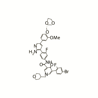 COc1cc(-c2cnc(N)c(-c3ccc(NC(=O)c4cn(CC5CCOCC5)cc(-c5ccc(Br)cc5F)c4=O)cc3F)c2)ccc1OC[C@H]1COCCO1